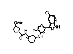 COC1CCN(C(=O)N[C@@H]2CCCC(Nc3nc(-c4n[nH]c5ncc(Cl)cc45)ncc3F)C2)C1